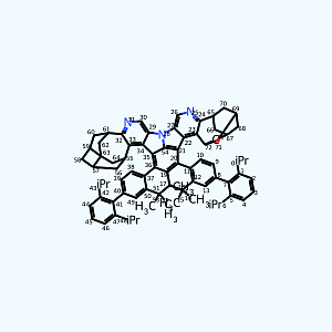 CC(C)c1cccc(C(C)C)c1-c1ccc2c(c1)C(C)(C)C1(C)c3c-2c2c4c5c(ncc4n4c6cnc7c(c6c(c3-c3ccc(-c6c(C(C)C)cccc6C(C)C)cc3C1(C)C)c24)C1CC2CC3CC7CC32C1)C1CC2CC(C1)CC5C2